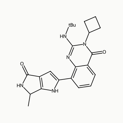 CC1NC(=O)c2cc(-c3cccc4c(=O)n(C5CCC5)c(NC(C)(C)C)nc34)[nH]c21